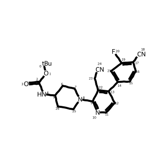 CC(C)(C)OC(=O)NC1CCN(c2nccc(-c3ccc(C#N)c(F)c3)c2CC#N)CC1